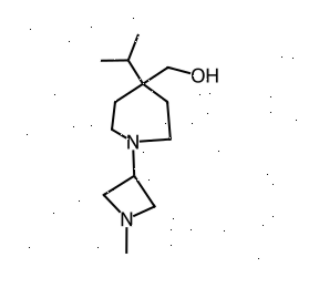 CC(C)C1(CO)CCN(C2CN(C)C2)CC1